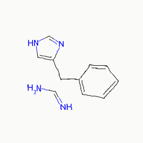 N=CN.c1ccc(Cc2c[nH]cn2)cc1